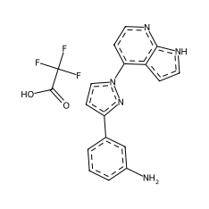 Nc1cccc(-c2ccn(-c3ccnc4[nH]ccc34)n2)c1.O=C(O)C(F)(F)F